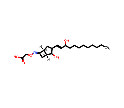 CCCCCCCCCC(O)C=CC1C[C@@H]2C(=NOCC(=O)O)C[C@H]2C1O